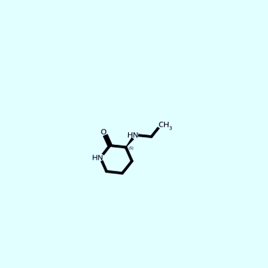 CCN[C@H]1CCCNC1=O